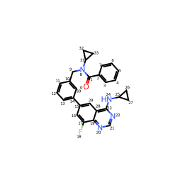 O=C(c1ccccc1)N(Cc1cccc(-c2cc(F)c3ncnc(NC4CC4)c3c2)c1)C1CC1